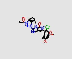 C=CC(=O)Nc1cccc(C)c1Nc1ncc2cc(-c3c(C)c(OC)cc(OC)c3Cl)n(C)c(=O)c2n1